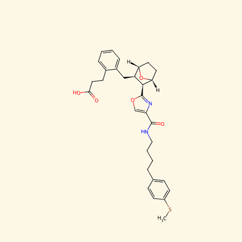 CSc1ccc(CCCCNC(=O)c2coc([C@H]3[C@@H](Cc4ccccc4CCC(=O)O)[C@@H]4CC[C@H]3O4)n2)cc1